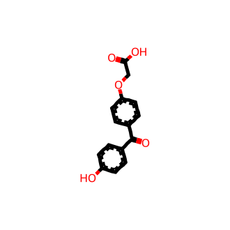 O=C(O)COc1ccc(C(=O)c2ccc(O)cc2)cc1